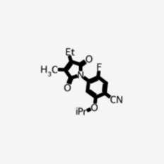 CCC1=C(C)C(=O)N(c2cc(OC(C)C)c(C#N)cc2F)C1=O